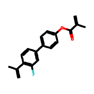 C=C(C)C(=O)Oc1ccc(-c2ccc(C(=C)C)c(F)c2)cc1